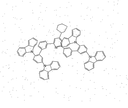 c1cc(-c2cc(C3CCCCC3)cc(-c3cccc(-c4cc(-n5c6ccccc6c6ccccc65)ccc4-n4c5ccccc5c5ccccc54)c3)n2)cc(-c2cc(-n3c4ccccc4c4ccccc43)ccc2-n2c3ccccc3c3ccccc32)c1